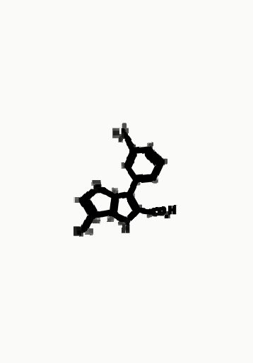 Nc1cccc(-c2c(C(=O)O)[nH]c3c(Br)csc23)c1